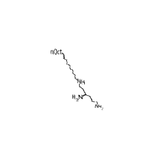 CCCCCCCCC=CCCCCCCCCNCCC(N)CCCN